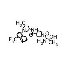 C[C@H]1C[C@@H](NC(=O)C2CCN(C(=O)[C@@H](N)[C@@H](C)O)CC2)CN(c2ccc(C(F)(F)F)c3ncccc23)C1